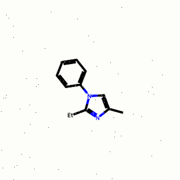 CCc1nc(C)cn1-c1cc[c]cc1